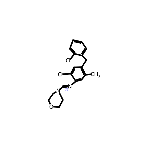 Cc1cc(/N=C/N2CCOCC2)c(Cl)cc1Cc1ccccc1Cl